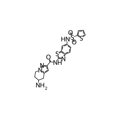 NC1CCn2nc(C(=O)Nc3nc4ccc(NS(=O)(=O)c5cccs5)cc4s3)cc2C1